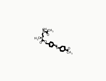 CC(=O)c1ccc(/N=N/c2ccc(COC(=O)N(C)CCN(C)C(C)=O)cc2)cc1